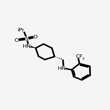 CC(C)S(=O)(=O)N[C@H]1CC[C@H](CNc2ccccc2C(F)(F)F)CC1